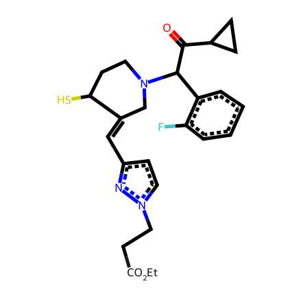 CCOC(=O)CCn1ccc(/C=C2\CN(C(C(=O)C3CC3)c3ccccc3F)CCC2S)n1